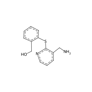 NCc1cccnc1Sc1ccccc1CO